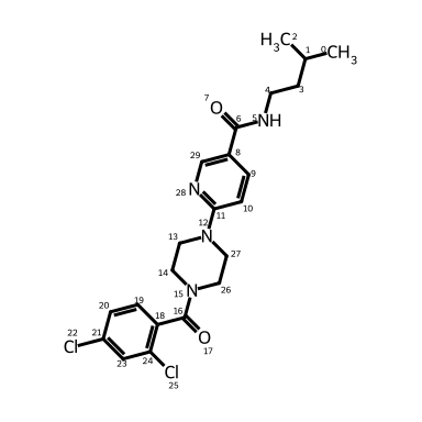 CC(C)CCNC(=O)c1ccc(N2CCN(C(=O)c3ccc(Cl)cc3Cl)CC2)nc1